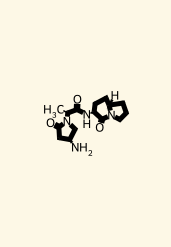 C[C@H](C(=O)N[C@@H]1CC[C@@H]2CCCN2C1=O)N1C[C@@H](N)CC1=O